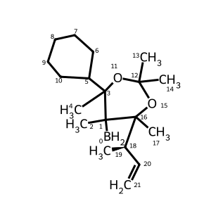 BC1(C)C(C)(C2CCCCC2)OC(C)(C)OC1(C)[C@H](C)C=C